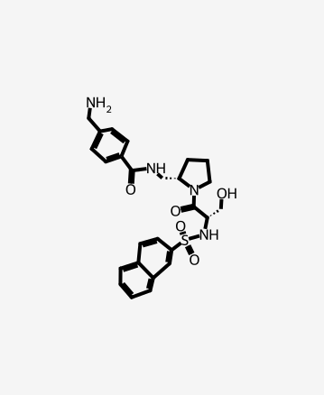 NCc1ccc(C(=O)NC[C@@H]2CCCN2C(=O)[C@H](CO)NS(=O)(=O)c2ccc3ccccc3c2)cc1